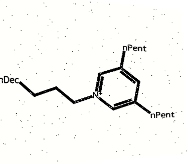 CCCCCCCCCCCCC[n+]1cc(CCCCC)cc(CCCCC)c1